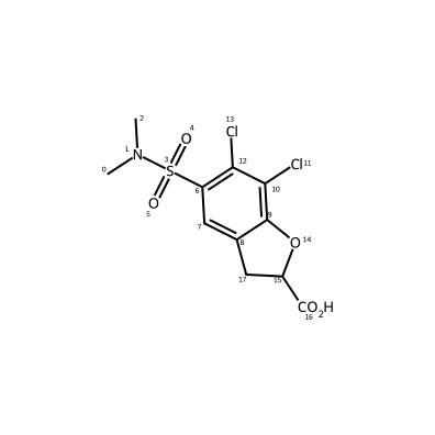 CN(C)S(=O)(=O)c1cc2c(c(Cl)c1Cl)OC(C(=O)O)C2